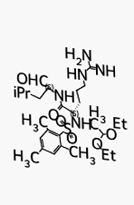 CCOC(C)OCC.Cc1cc(C)c(S(=O)(=O)N[C@@H](CCCNC(=N)N)C(=O)N[C@H](C=O)CC(C)C)c(C)c1